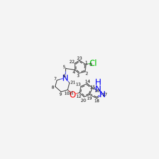 Clc1ccc(CN2CCCC(Oc3ccc4[nH]ncc4c3)C2)cc1